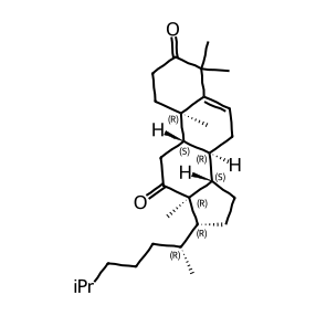 CC(C)CCC[C@@H](C)[C@H]1CC[C@H]2[C@@H]3CC=C4C(C)(C)C(=O)CC[C@]4(C)[C@H]3CC(=O)[C@]12C